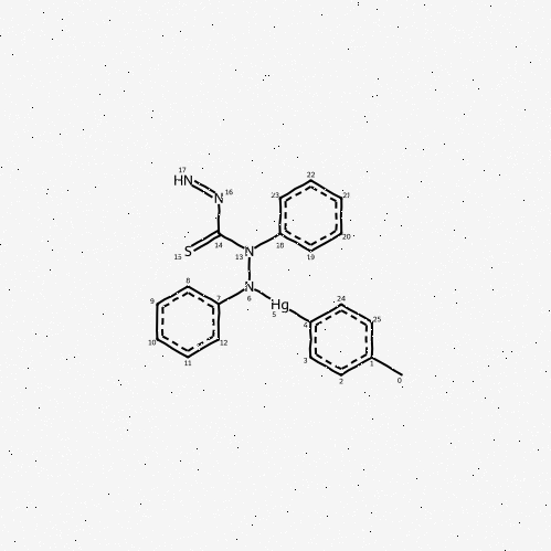 Cc1cc[c]([Hg][N](c2ccccc2)N(C(=S)N=N)c2ccccc2)cc1